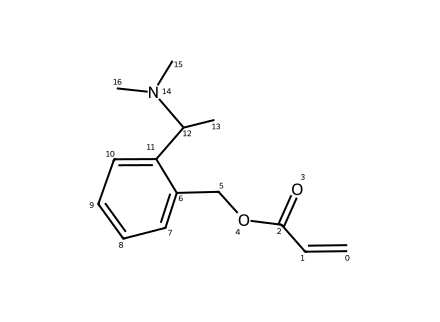 C=CC(=O)OCc1ccccc1C(C)N(C)C